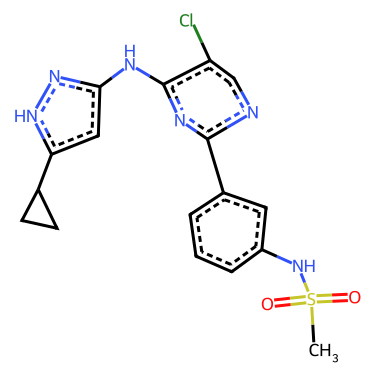 CS(=O)(=O)Nc1cccc(-c2ncc(Cl)c(Nc3cc(C4CC4)[nH]n3)n2)c1